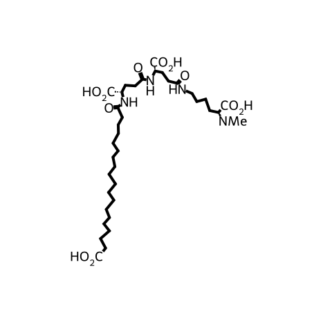 CN[C@@H](CCCCNC(=O)CC[C@H](NC(=O)CC[C@H](NC(=O)CCCCCCCCCCCCCCCCCC(=O)O)C(=O)O)C(=O)O)C(=O)O